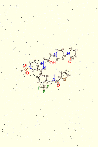 CS(=O)(=O)N1CCc2c(c(-c3ccc(C(F)(F)F)c(CNC(=O)c4cccs4)c3)nn2CC(O)CN2CCC(N3CCCC3=O)CC2)C1